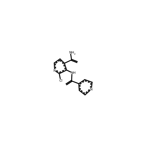 C=C(Nc1c(C(=C)N)ccnc1Cl)c1ccncc1